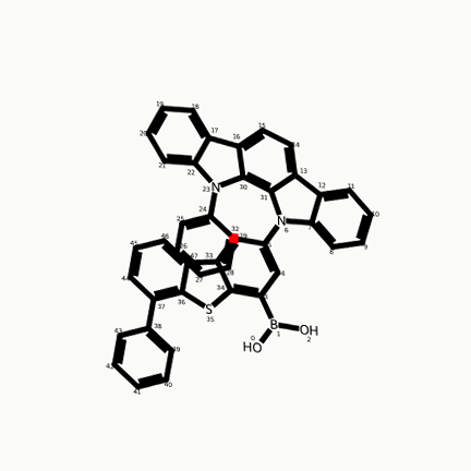 OB(O)c1cc(-n2c3ccccc3c3ccc4c5ccccc5n(-c5ccccc5)c4c32)cc2c1sc1c(-c3ccccc3)cccc12